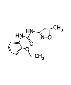 CCOc1ccccc1NC(=O)Nc1cc(C)on1